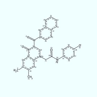 Cc1cc2c(=O)c(C(=O)c3ccc4ccccc4c3)cn(CC(=O)Nc3ccc(Cl)cc3)c2cc1C